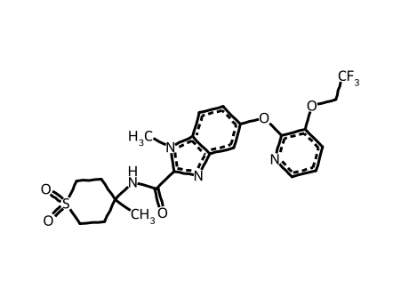 Cn1c(C(=O)NC2(C)CCS(=O)(=O)CC2)nc2cc(Oc3ncccc3OCC(F)(F)F)ccc21